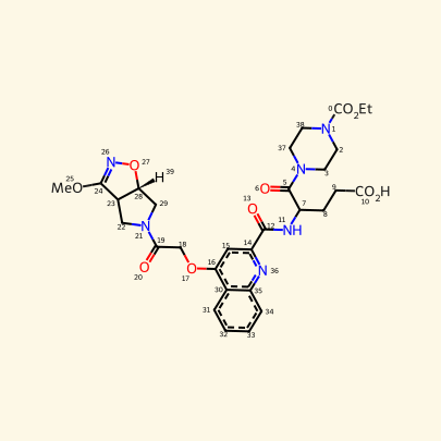 CCOC(=O)N1CCN(C(=O)C(CCC(=O)O)NC(=O)c2cc(OCC(=O)N3CC4C(OC)=NO[C@@H]4C3)c3ccccc3n2)CC1